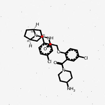 NC1CCN(C(=O)c2cc(Cl)ccc2OCC(=O)N[C@H]2C[C@H]3CC[C@@H](C2)N3Cc2ccc(Cl)cc2)CC1